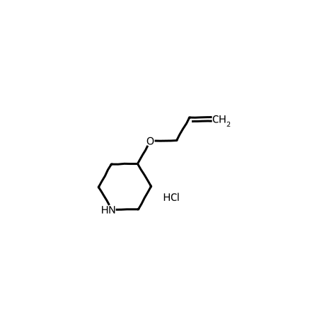 C=CCOC1CCNCC1.Cl